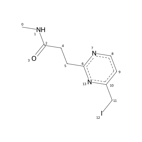 CNC(=O)CCc1nccc(CI)n1